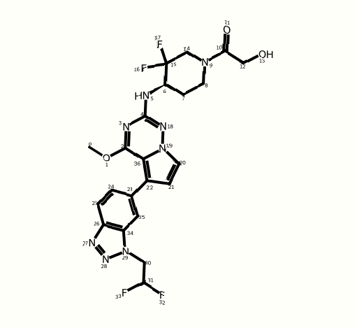 COc1nc(N[C@@H]2CCN(C(=O)CO)CC2(F)F)nn2ccc(-c3ccc4nnn(CC(F)F)c4c3)c12